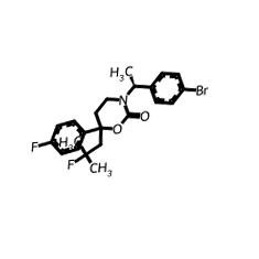 C[C@@H](c1ccc(Br)cc1)N1CCC(CC(C)(C)F)(c2ccc(F)cc2)OC1=O